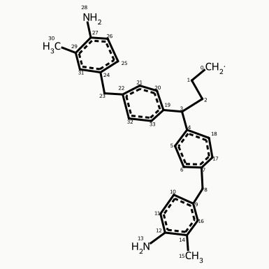 [CH2]CCC(c1ccc(Cc2ccc(N)c(C)c2)cc1)c1ccc(Cc2ccc(N)c(C)c2)cc1